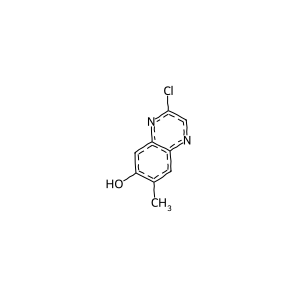 Cc1cc2ncc(Cl)nc2cc1O